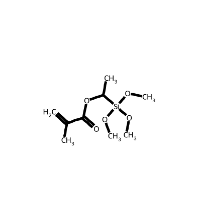 C=C(C)C(=O)OC(C)[Si](OC)(OC)OC